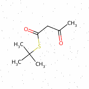 CC(=O)CC(=O)SC(C)(C)C